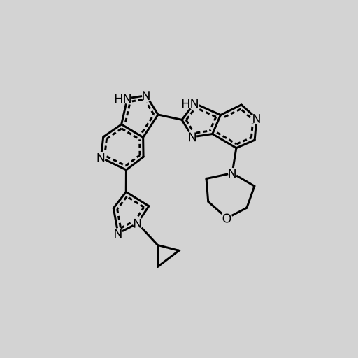 c1nn(C2CC2)cc1-c1cc2c(-c3nc4c(N5CCOCC5)cncc4[nH]3)n[nH]c2cn1